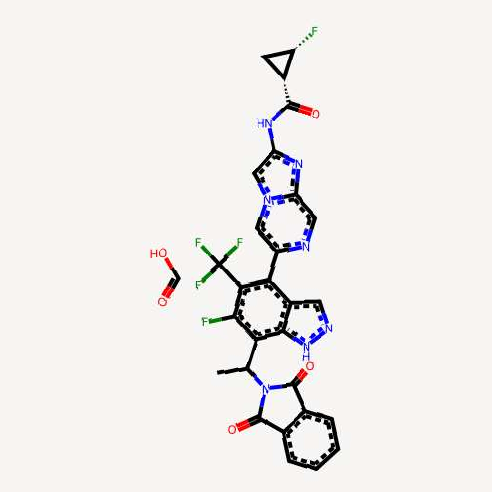 CC(c1c(F)c(C(F)(F)F)c(-c2cn3cc(NC(=O)[C@@H]4C[C@@H]4F)nc3cn2)c2cn[nH]c12)N1C(=O)c2ccccc2C1=O.O=CO